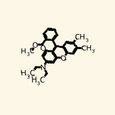 CCN(CC)c1ccc2c(c1)Oc1cc(C)c(C)cc1C2c1ccccc1C(=O)OC